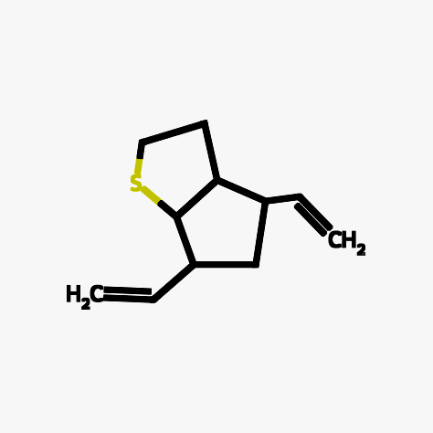 C=CC1CC(C=C)C2SCCC12